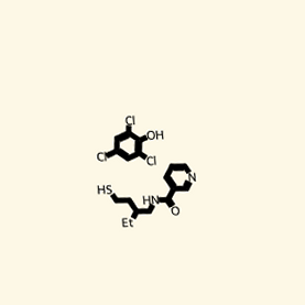 CCC(CCS)CNC(=O)c1cccnc1.Oc1c(Cl)cc(Cl)cc1Cl